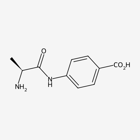 C[C@H](N)C(=O)Nc1ccc(C(=O)O)cc1